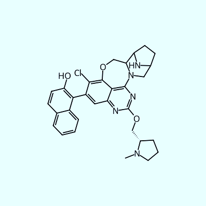 CN1CCC[C@H]1COc1nc2c3c(c(Cl)c(-c4c(O)ccc5ccccc45)cc3n1)OCC1C3CCC(CN21)N3